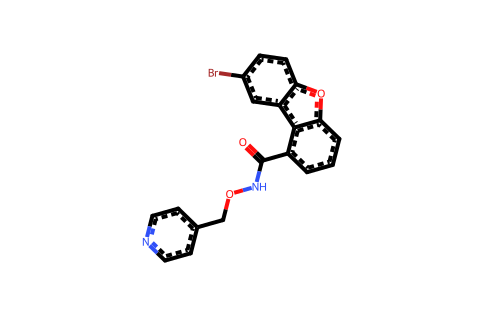 O=C(NOCc1ccncc1)c1cccc2oc3ccc(Br)cc3c12